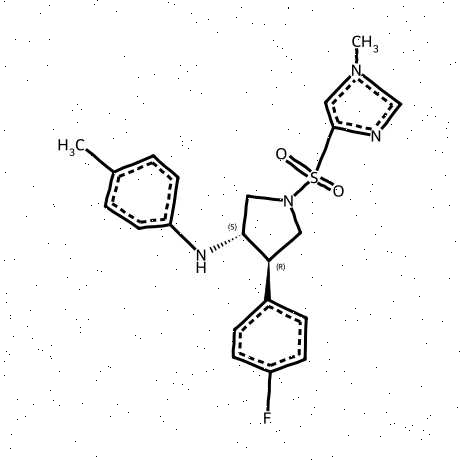 Cc1ccc(N[C@@H]2CN(S(=O)(=O)c3cn(C)cn3)C[C@H]2c2ccc(F)cc2)cc1